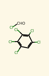 Clc1cc(Cl)c(Cl)c(Cl)c1Cl.O=CCl